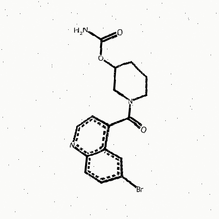 NC(=O)OC1CCCN(C(=O)c2ccnc3ccc(Br)cc23)C1